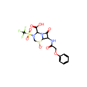 O=C(COc1ccccc1)NC1C(=O)N2C(C(=O)O)N(S(=O)(=O)C(F)(F)F)C[S+]([O-])C12